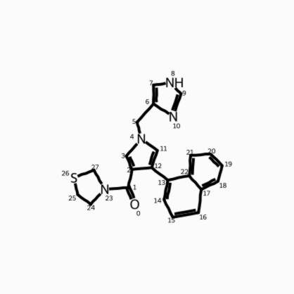 O=C(c1cn(Cc2c[nH]cn2)cc1-c1cccc2ccccc12)N1CCSC1